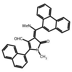 CN/C(=C1/C(=O)N(C)C(c2cccc3ccccc23)=C1C=O)c1cc2ccccc2c2ccccc12